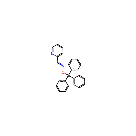 C(=N\O[Si](c1ccccc1)(c1ccccc1)c1ccccc1)/c1ccccn1